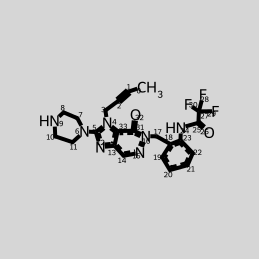 CC#CCn1c(N2CCNCC2)nc2cnn(Cc3ccccc3NC(=O)C(F)(F)F)c(=O)c21